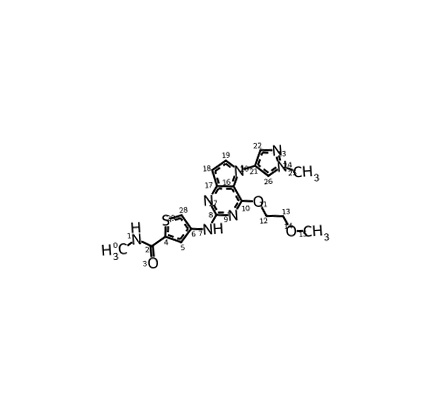 CNC(=O)c1cc(Nc2nc(OCCOC)c3c(ccn3-c3cnn(C)c3)n2)cs1